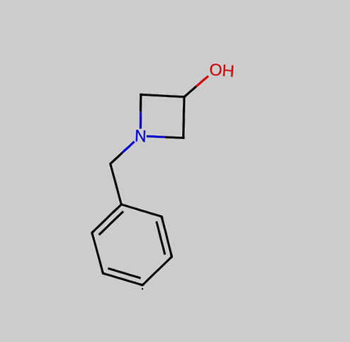 OC1CN(Cc2cc[c]cc2)C1